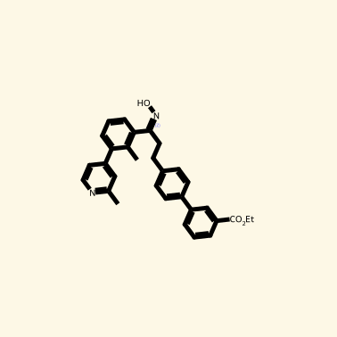 CCOC(=O)c1cccc(-c2ccc(CC/C(=N/O)c3cccc(-c4ccnc(C)c4)c3C)cc2)c1